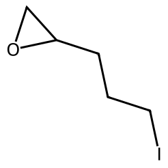 ICCCC1CO1